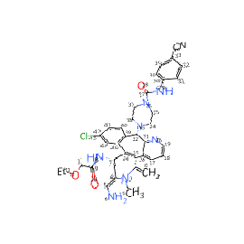 C=CN(C)/C(=C\N)[C@H](NC(=O)COCC)C1=Cc2cccnc2[C@@H](N2CCN(C(=O)Nc3ccc(C#N)cc3)CC2)c2ccc(Cl)cc21